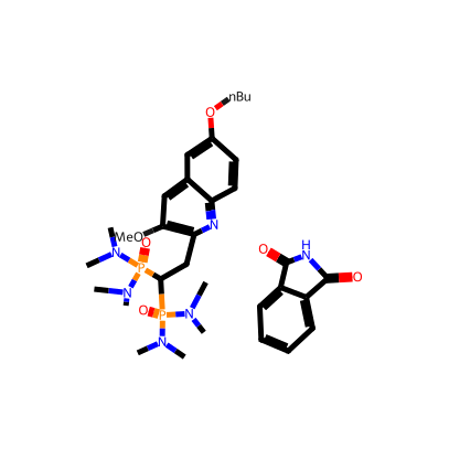 CCCCOc1ccc2nc(CC(P(=O)(N(C)C)N(C)C)P(=O)(N(C)C)N(C)C)c(OC)cc2c1.O=C1NC(=O)c2ccccc21